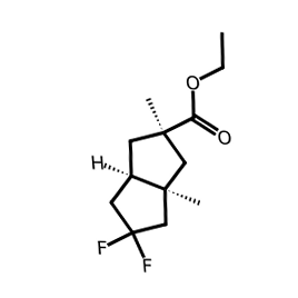 CCOC(=O)[C@]1(C)C[C@@H]2CC(F)(F)C[C@]2(C)C1